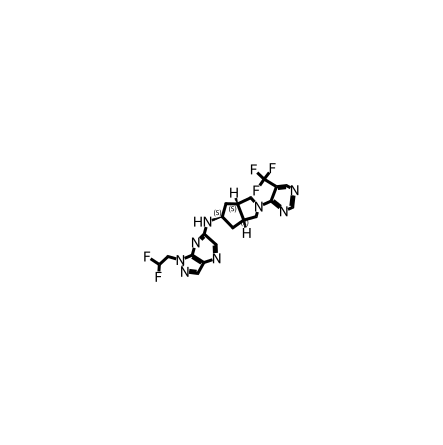 FC(F)Cn1ncc2ncc(N[C@H]3C[C@@H]4CN(c5ncncc5C(F)(F)F)C[C@@H]4C3)nc21